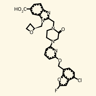 O=C(O)c1ccc2nc(CN3CCN(c4cccc(OCc5ccc(Cl)c6cc(F)oc56)n4)CC3=O)n(C[C@@H]3CCO3)c2c1